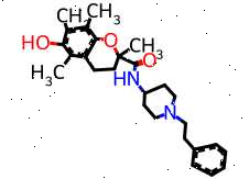 Cc1c(C)c2c(c(C)c1O)CCC(C)(C(=O)NC1CCN(CCc3ccccc3)CC1)O2